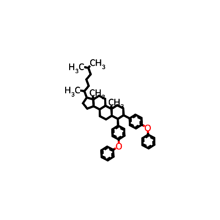 CC(C)CCCC(C)C1CCC2C3CCC4C(c5ccc(Oc6ccccc6)cc5)C(c5ccc(Oc6ccccc6)cc5)CCC4(C)C3CCC12C